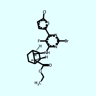 CCOC(=O)[C@@H]1C2CCC(CC2)[C@H]1Nc1nc(Br)nc(-c2ccc(Cl)s2)c1F